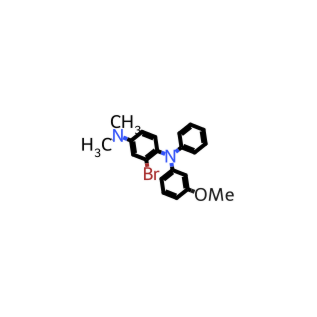 COc1cccc(N(c2ccccc2)c2ccc(N(C)C)cc2Br)c1